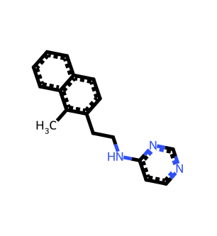 Cc1c(CCNc2ccncn2)ccc2ccccc12